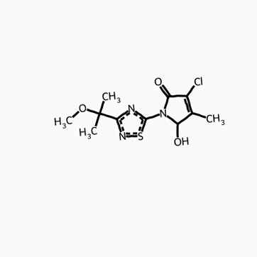 COC(C)(C)c1nsc(N2C(=O)C(Cl)=C(C)C2O)n1